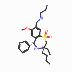 CCCC[C@]1(CC)CS(=O)(=O)c2cc(CNCCC)c(OC)cc2[C@@H](c2ccccc2)N1